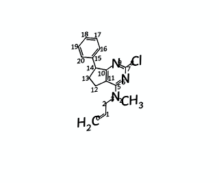 C=CCN(C)c1nc(Cl)nc2c1CCC2c1ccccc1